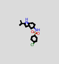 C=C(C)c1cc2cc(NS(=O)(=O)c3ccc(Cl)cc3)ccc2[nH]1